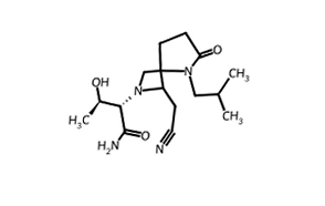 CC(C)CN1C(=O)CCC12CN([C@H](C(N)=O)[C@@H](C)O)C2CC#N